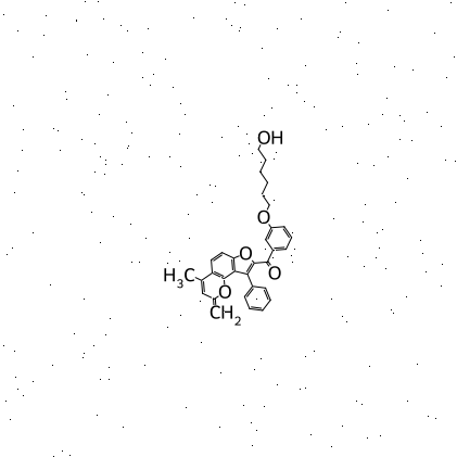 C=C1C=C(C)c2ccc3oc(C(=O)c4cccc(OCCCCCCO)c4)c(-c4ccccc4)c3c2O1